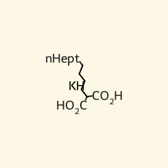 CCCCCCCCCCCC(C(=O)O)C(=O)O.[KH]